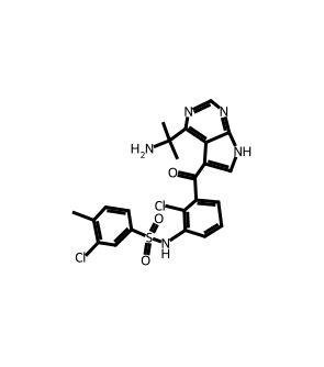 Cc1ccc(S(=O)(=O)Nc2cccc(C(=O)c3c[nH]c4ncnc(C(C)(C)N)c34)c2Cl)cc1Cl